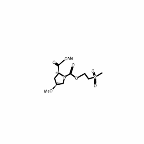 COC(=O)[C@@H]1C[C@H](OC)CN1C(=O)OCCS(C)(=O)=O